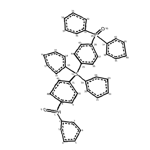 O=[PH](c1ccccc1)c1ccc(S(c2ccccc2)(c2ccccc2)c2ccc(P(=O)(c3ccccc3)c3ccccc3)cc2)cc1